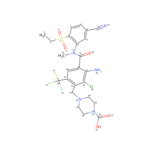 CCS(=O)(=O)c1ccc(C#N)cc1N(C)C(=O)c1cc(C(F)(F)F)c(CN2CCN(C(=O)O)CC2)c(Cl)c1N